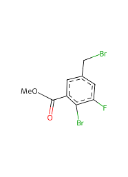 COC(=O)c1cc(CBr)cc(F)c1Br